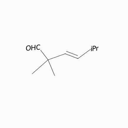 CC(C)/C=C/C(C)(C)C=O